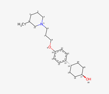 CC1CCCN(CCCOc2ccc([C@H]3CC[C@H](O)CC3)cc2)C1